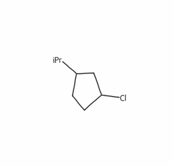 CC(C)C1CCC(Cl)C1